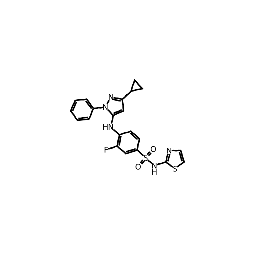 O=S(=O)(Nc1nccs1)c1ccc(Nc2cc(C3CC3)nn2-c2ccccc2)c(F)c1